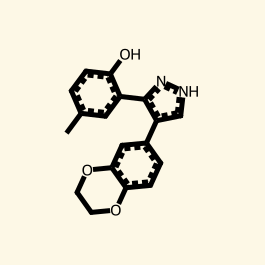 Cc1ccc(O)c(-c2n[nH]cc2-c2ccc3c(c2)OCCO3)c1